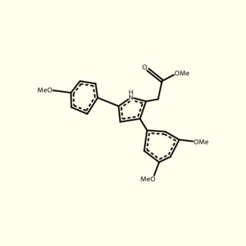 COC(=O)Cc1[nH]c(-c2ccc(OC)cc2)cc1-c1cc(OC)cc(OC)c1